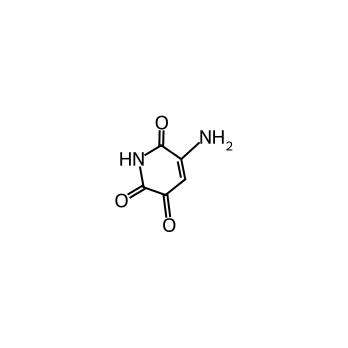 NC1=CC(=O)C(=O)NC1=O